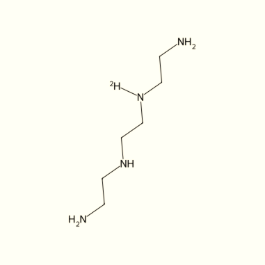 [2H]N(CCN)CCNCCN